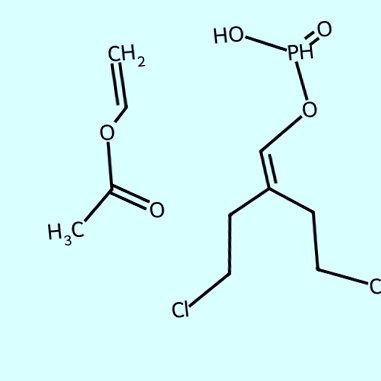 C=COC(C)=O.O=[PH](O)OC=C(CCCl)CCCl